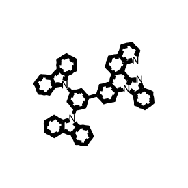 c1cnc2c(c1)ccc1c3cc(-c4cc(-n5c6ccccc6c6ccccc65)cc(-n5c6ccccc6c6ccccc65)c4)ccc3n3c4ccccc4nc3c12